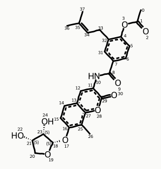 CC(=O)Oc1ccc(C(=O)Nc2cc3ccc(O[C@@H]4OC[C@H](O)[C@@H]4O)c(C)c3oc2=O)cc1CC=C(C)C